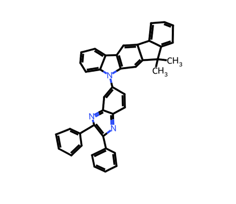 CC1(C)c2ccccc2-c2cc3c4ccccc4n(-c4ccc5nc(-c6ccccc6)c(-c6ccccc6)nc5c4)c3cc21